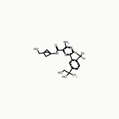 [2H]C([2H])([2H])c1ccc(C(O)(CO)C(F)(F)F)cc1-c1cnc(N)c(C(=O)NC23CC(CO)(C2)C3)n1